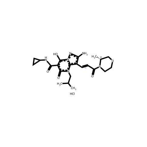 CC(C)Cn1c(=O)c(C(=O)NC2CC2)c(O)n2nc(N)c(/C=C/C(=O)N3CCOC[C@H]3C)c12.Cl